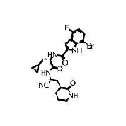 N#C[C@H](C[C@@H]1CCCNC1=O)NC(=O)[C@H](CC1CC1)NC(=O)c1cc2c(F)ccc(Br)c2[nH]1